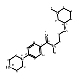 CN1CCC[C@@H](OCCN(C)C(=O)c2ccc(N3CCNCC3)cc2)C1